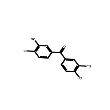 N#Cc1cc(C(=O)c2ccc(Cl)c(C#N)c2)ccc1Cl